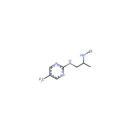 CCNC(C)CNc1ncc(C(F)(F)F)cn1